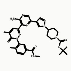 CNC(=O)c1ccc(C)c(-n2nc(-c3nc(-c4cnn(C5CCN(C(=O)OC(C)(C)C)CC5)c4)cnc3N)cc(C)c2=O)c1